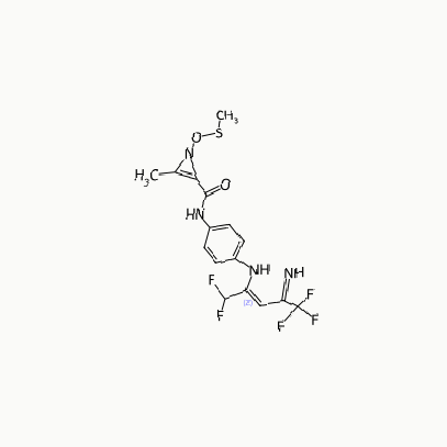 CSON1C(C)=C1C(=O)Nc1ccc(N/C(=C\C(=N)C(F)(F)F)C(F)F)cc1